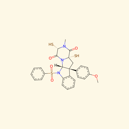 COc1ccc([C@]23C[C@]4(S)C(=O)N(C)[C@@H](S)C(=O)N4[C@H]2N(S(=O)(=O)c2ccccc2)c2ccccc23)cc1